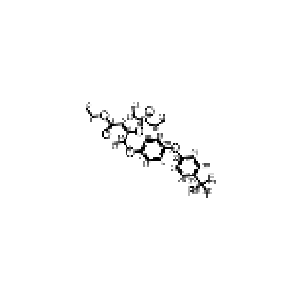 CCOC(=O)C=C(OP(=O)(CC)CC)C(C)Oc1ccc(Oc2ccc(C(F)(F)F)cc2)cc1